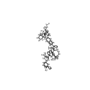 CCCOC(=O)[C@H](C)NP(=O)(Oc1ccccc1)C(F)c1ccc2sc(C(=O)N[C@H]3CCCC[C@H]4CC[C@@H](C(=O)N5CC(c6ccn(C)c(=O)c6)CC56CC6)N4C3=O)cc2c1